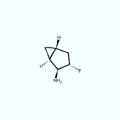 N[C@H]1[C@H]2C[C@@H]2C[C@@H]1F